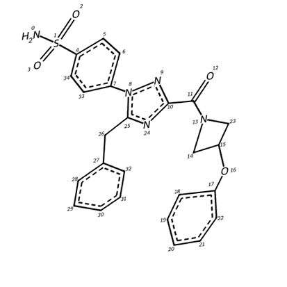 NS(=O)(=O)c1ccc(-n2nc(C(=O)N3CC(Oc4ccccc4)C3)nc2Cc2ccccc2)cc1